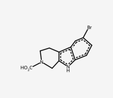 O=C(O)N1CCc2c([nH]c3ccc(Br)cc23)C1